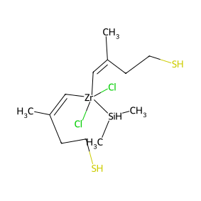 CC(=[CH][Zr]([Cl])([Cl])([CH]=C(C)CCS)[SiH](C)C)CCS